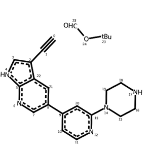 C#Cc1c[nH]c2ncc(-c3ccnc(N4CCNCC4)c3)cc12.CC(C)(C)OC=O